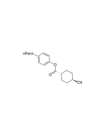 CCCCCc1ccc(OC(=O)[C@H]2CC[C@H](C#N)CC2)cc1